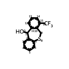 OC1c2ccccc2SCc2c1cccc2C(F)(F)F